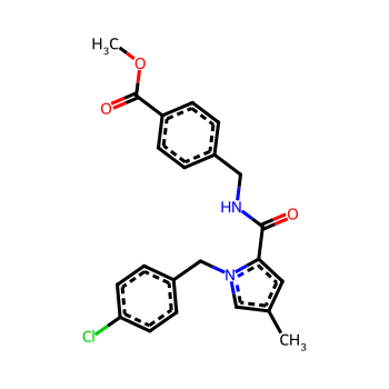 COC(=O)c1ccc(CNC(=O)c2cc(C)cn2Cc2ccc(Cl)cc2)cc1